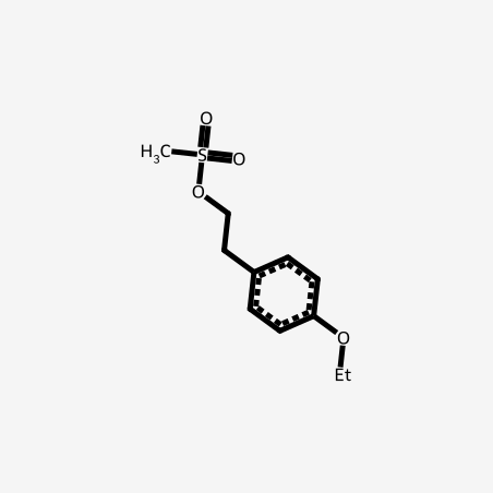 CCOc1ccc(CCOS(C)(=O)=O)cc1